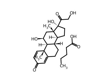 CCCCC(=O)O.C[C@]12C=CC(=O)C=C1CC[C@@H]1[C@@H]2[C@@H](O)C[C@@]2(C)[C@H]1CC[C@]2(O)C(=O)CO